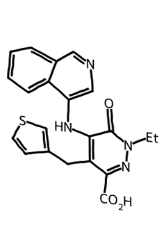 CCn1nc(C(=O)O)c(Cc2ccsc2)c(Nc2cncc3ccccc23)c1=O